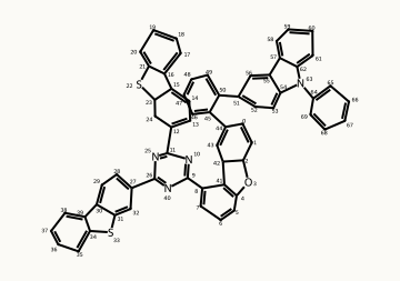 C1=CC2Oc3cccc(-c4nc(C5=CC=C6c7ccccc7SC6C5)nc(-c5ccc6c(c5)sc5ccccc56)n4)c3C2C=C1c1ccccc1-c1ccc2c(c1)c1ccccc1n2-c1ccccc1